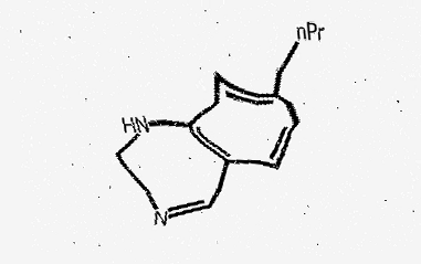 CCCc1ccc2c(c1)NCN=C2